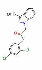 O=Cc1cn(CC(=O)Cc2ccc(Cl)cc2Cl)c2ccccc12